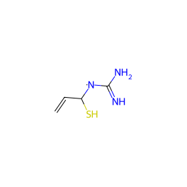 C=CC(S)[N]C(=N)N